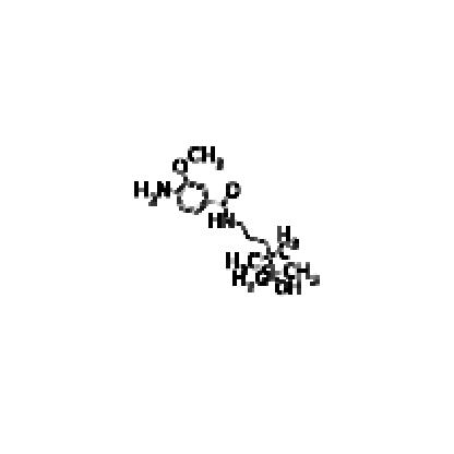 COc1cc(C(=O)NCCCC(C)(C)[Si](C)(C)O)ccc1N